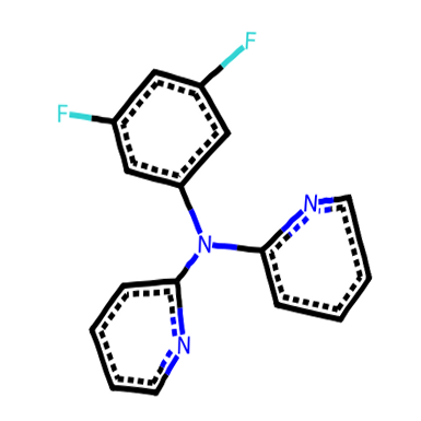 Fc1cc(F)cc(N(c2ccccn2)c2ccccn2)c1